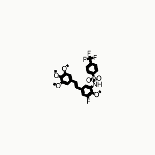 COc1cc(C=Cc2cc(F)c(OC)c(NS(=O)(=O)c3ccc(C(F)(F)F)cc3)c2)cc(OC)c1OC